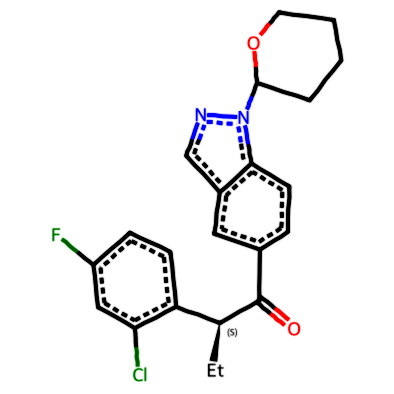 CC[C@H](C(=O)c1ccc2c(cnn2C2CCCCO2)c1)c1ccc(F)cc1Cl